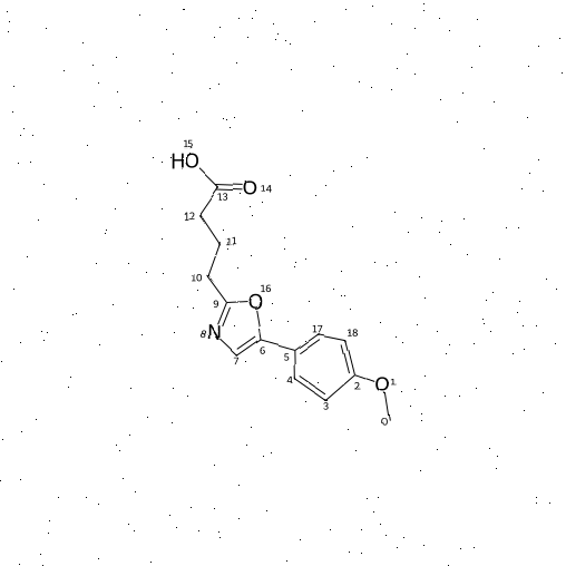 COc1ccc(-c2cnc(CCCC(=O)O)o2)cc1